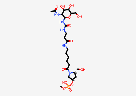 COP(=O)(O)O[C@@H]1C[C@@H](CO)N(C(=O)CCCCCNC(=O)CCNC(=O)NC2OC(CO)C(O)C(O)C2NC(C)=O)C1